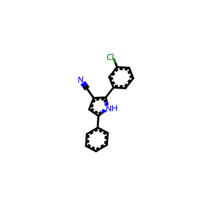 N#Cc1cc(-c2ccccc2)[nH]c1-c1cccc(Cl)c1